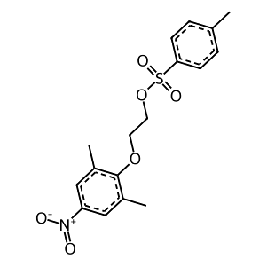 Cc1ccc(S(=O)(=O)OCCOc2c(C)cc([N+](=O)[O-])cc2C)cc1